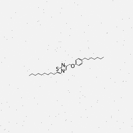 CCCCCCCCCc1cn2cc(COc3ccc(CCCCCCC)cc3)nc2s1